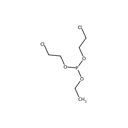 [CH2]COP(OCCCl)OCCCl